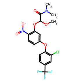 COC(Oc1cc(Oc2ccc(C(F)(F)F)cc2Cl)ccc1[N+](=O)[O-])C(=O)N(C)C